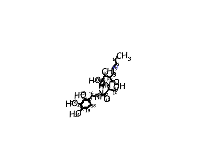 CC/C=C/CC(C(=O)NC(CO)C(=O)NNCc1ccc(O)c(O)c1O)C(C)C(=O)O